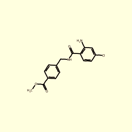 COC(=O)c1ccc(CNC(=O)c2ccc(Cl)cc2N)cc1